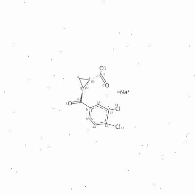 O=C([O-])[C@H]1C[C@@H]1C(=O)c1ccc(Cl)c(Cl)c1.[Na+]